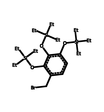 CC[Si](CC)(CC)Oc1ccc(CBr)c(O[Si](CC)(CC)CC)c1O[Si](CC)(CC)CC